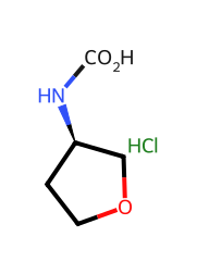 Cl.O=C(O)N[C@@H]1CCOC1